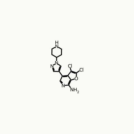 Nc1ncc(-c2cnn(C3CCNCC3)c2)c2c(Cl)c(Cl)oc12